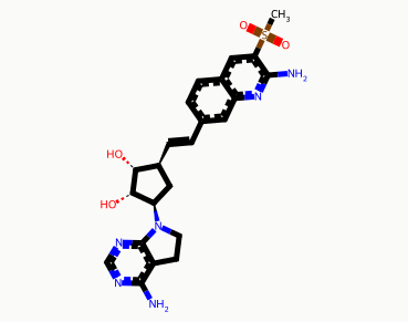 CS(=O)(=O)c1cc2ccc(/C=C/[C@H]3C[C@@H](N4CCc5c(N)ncnc54)[C@H](O)[C@@H]3O)cc2nc1N